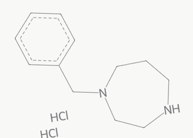 Cl.Cl.c1ccc(CN2CCCNCC2)cc1